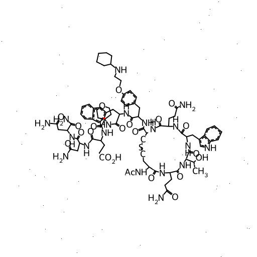 CC(=O)NC1CCSCC(C(=O)NC(Cc2ccc(OCCNC3CCCCC3)cc2)C(=O)NC(Cc2ccc3ccccc3c2)C(=O)NC2(C(=O)NC(CCC(=O)O)C(=O)NC(CC(N)=O)C(=O)NC(CC(N)=O)C(N)=O)CCOCC2)NC(=O)C(CCC(N)=O)NC(=O)C(Cc2c[nH]c3ccccc23)NC(=O)C(C(C)O)NC(=O)C(CCC(N)=O)NC1=O